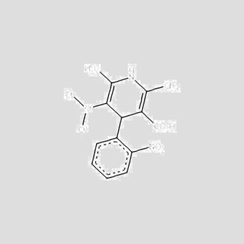 CC[S+]([O-])C1=C(C)NC(C)=C(C(=O)O)C1c1ccccc1[N+](=O)[O-]